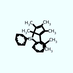 CC1=C(C)C(C)([SiH](c2ccccc2)c2ccccc2)C(CC(C)C)=C1C